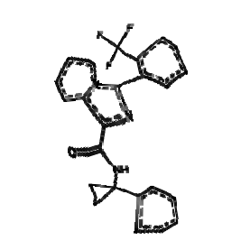 O=C(NC1(c2ccccc2)CC1)c1nc(-c2ccccc2C(F)(F)F)n2ccccc12